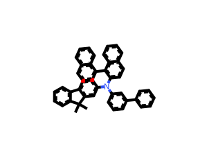 CC1(C)c2ccccc2-c2ccc(N(c3cccc(-c4ccccc4)c3)c3ccc4ccccc4c3-c3cccc4ccccc34)cc21